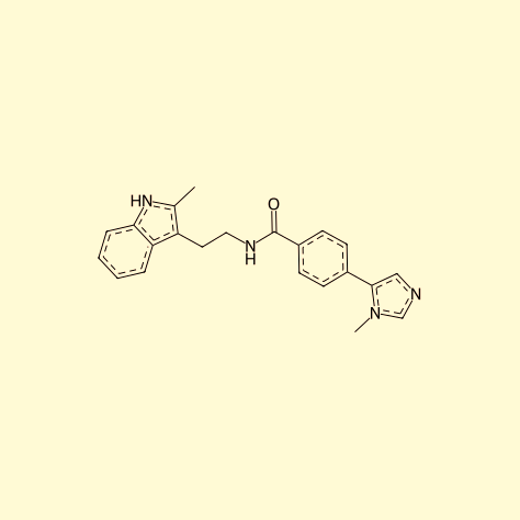 Cc1[nH]c2ccccc2c1CCNC(=O)c1ccc(-c2cncn2C)cc1